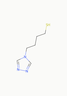 SCCCCn1cnnc1